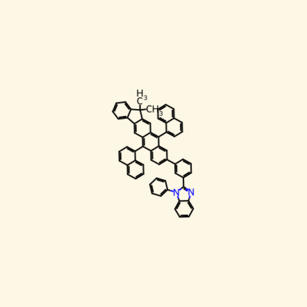 CC1(C)c2ccccc2-c2cc3c(-c4cccc5ccccc45)c4ccc(-c5cccc(-c6nc7ccccc7n6-c6ccccc6)c5)cc4c(-c4cccc5ccccc45)c3cc21